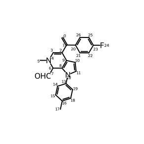 C=C(C1=CN(C)C(C=O)c2c1ccn2-c1ccc(C)cc1)c1ccc(F)cc1